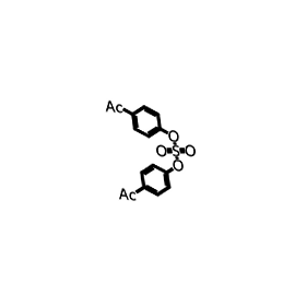 CC(=O)c1ccc(OS(=O)(=O)Oc2ccc(C(C)=O)cc2)cc1